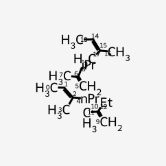 C/C=C(\C)CCC.C=C(C)C(C)C.C=C(C)CC.CC=C(C)C